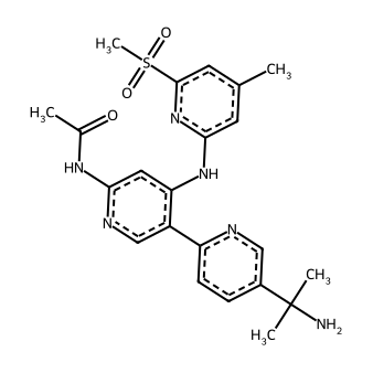 CC(=O)Nc1cc(Nc2cc(C)cc(S(C)(=O)=O)n2)c(-c2ccc(C(C)(C)N)cn2)cn1